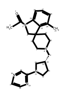 CC(=O)N1CC2(CCN(C[C@@H]3CCN(c4cnccn4)C3)CC2)c2c(C)cccc21